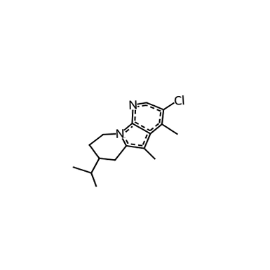 Cc1c(Cl)cnc2c1c(C)c1n2CCC(C(C)C)C1